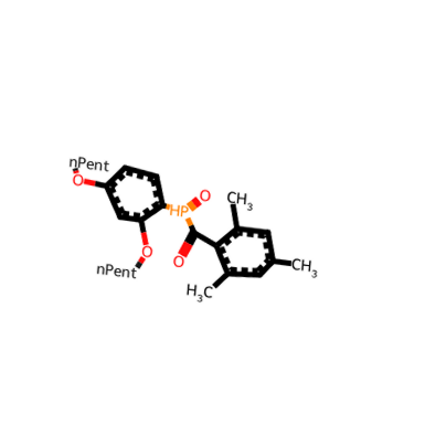 CCCCCOc1ccc([PH](=O)C(=O)c2c(C)cc(C)cc2C)c(OCCCCC)c1